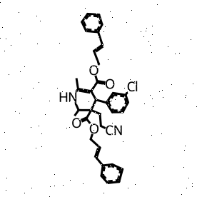 CC1=C(C(=O)OCC=Cc2ccccc2)C(c2cccc(Cl)c2)C(CCC#N)(C(=O)OCC=Cc2ccccc2)C(C)N1